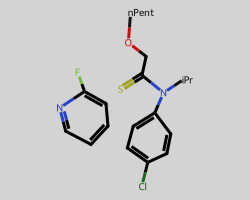 CCCCCOCC(=S)N(c1ccc(Cl)cc1)C(C)C.Fc1ccccn1